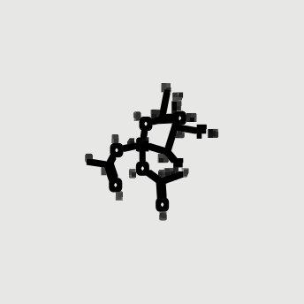 CC(=O)O[Si](OC(C)=O)(OC(C)=O)C(F)C(F)F